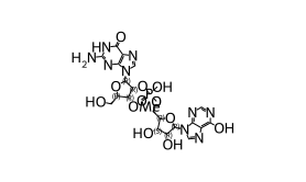 CO[C@H]1[C@@H](OP(=O)(O)OC[C@H]2O[C@@H](n3cnc4c(O)ncnc43)[C@H](O)[C@@H]2O)[C@H](n2cnc3c(=O)[nH]c(N)nc32)O[C@@H]1CO